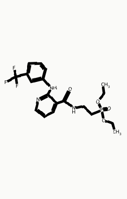 CCOP(=O)(CCNC(=O)c1cccnc1Nc1cccc(C(F)(F)F)c1)OCC